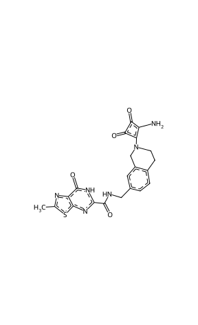 Cc1nc2c(=O)[nH]c(C(=O)NCc3ccc4c(c3)CN(c3c(N)c(=O)c3=O)CC4)nc2s1